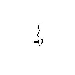 Cn1ccn(CCCN)c1=[Se]